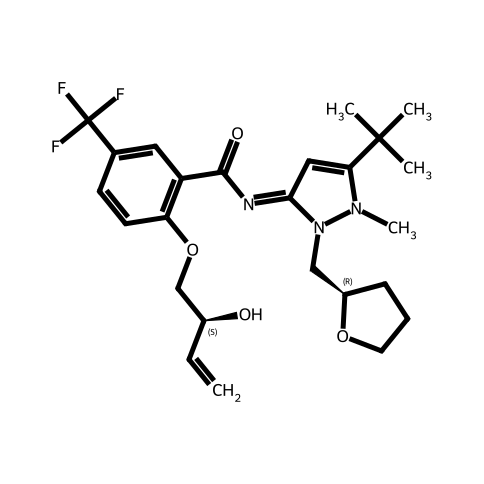 C=C[C@H](O)COc1ccc(C(F)(F)F)cc1C(=O)N=c1cc(C(C)(C)C)n(C)n1C[C@H]1CCCO1